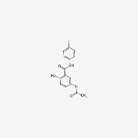 CC(=O)Oc1ccc(O)c(C(=O)Nc2ccc(I)cc2)c1